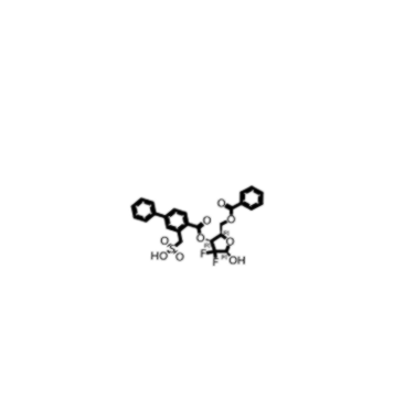 O=C(OC[C@H]1O[C@@H](O)C(F)(F)[C@@H]1OC(=O)c1ccc(-c2ccccc2)cc1CS(=O)(=O)O)c1ccccc1